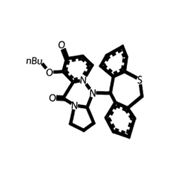 CCCCOc1c2n(ccc1=O)N(C1c3ccccc3CSc3ccccc31)C1CCCN1C2=O